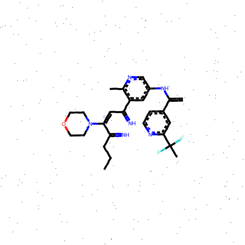 C=C(Nc1cnc(C)c(C(=N)/C=C(\C(=N)CCC)N2CCOCC2)c1)c1ccnc(C(C)(F)F)c1